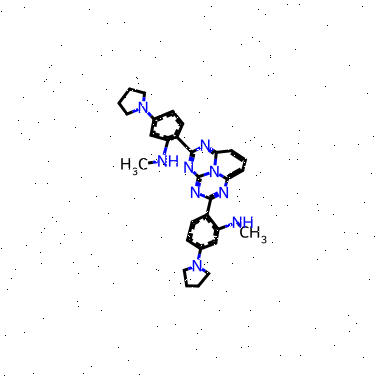 CNc1cc(N2CCCC2)ccc1C1=NC2=CC=CC3=NC(c4ccc(N5CCCC5)cc4NC)=NC(=N1)N23